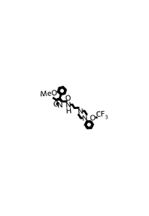 COc1ccccc1-c1c(C(=O)NCCCN2CCN(c3ccccc3OCC(F)(F)F)CC2)noc1C